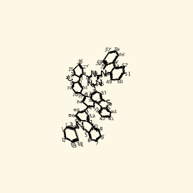 c1ccc(-n2c3ccccc3c3cc(-c4cccc(-c5ccc6oc7cccc(-c8nc(-c9ccc%10c(c9)sc9ccccc9%10)nc(-n9c%10ccccc%10c%10ccccc%109)n8)c7c6c5)c4)ccc32)cc1